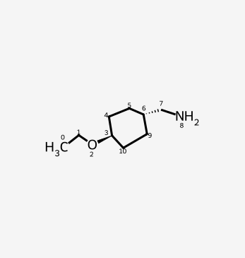 CCO[C@H]1CC[C@H](CN)CC1